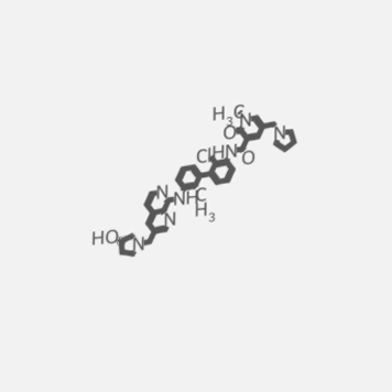 Cc1c(Nc2nccc3cc(CN4CC[C@@H](O)C4)cnc23)cccc1-c1cccc(NC(=O)c2cc(CN3CCCC3)cn(C)c2=O)c1Cl